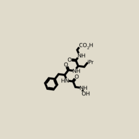 CC(C)CC(NC(=O)C(Cc1ccccc1)NC(=O)CNO)C(=O)NCC(=O)O